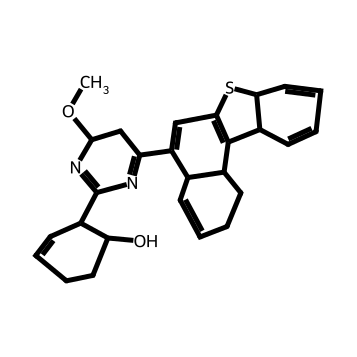 COC1CC(C2=CC3=C(C4C=CC=CC4S3)C3CCC=CC23)=NC(C2C=CCCC2O)=N1